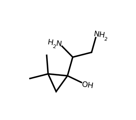 CC1(C)CC1(O)C(N)CN